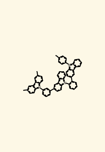 Cc1ccc(-n2c3ccccc3c3cc(-c4ccccc4-n4c5ccccc5c5cc(-c6cccc(-n7c8ccc(C)cc8c8cc(C)ccc87)c6)ccc54)ccc32)cc1